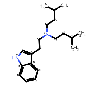 CC(C)CCN(CCc1c[nH]c2ccccc12)CCC(C)C